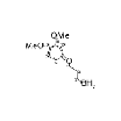 BC=CCOc1ccc(OC)c(OC)c1